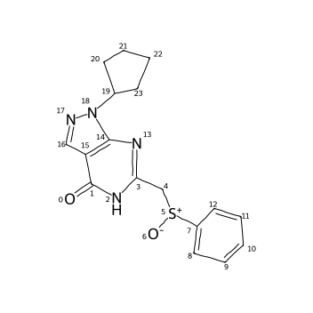 O=c1[nH]c(C[S+]([O-])c2ccccc2)nc2c1cnn2C1CCCC1